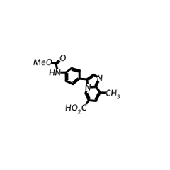 COC(=O)Nc1ccc(-c2cnc3c(C)cc(C(=O)O)cn23)cc1